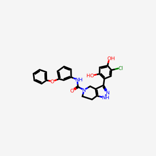 O=C(Nc1cccc(Oc2ccccc2)c1)N1CCc2[nH]nc(-c3cc(Cl)c(O)cc3O)c2C1